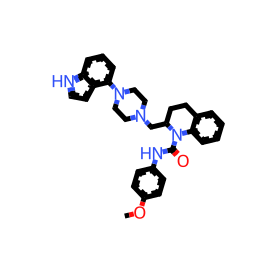 COc1ccc(NC(=O)N2c3ccccc3CCC2CN2CCN(c3cccc4[nH]ccc34)CC2)cc1